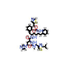 CC(C)c1nc(CN(C)C(=O)NC(CCn2ccnc2)C(=O)NC(CCC(Cc2ccccc2)NC(=O)OCc2cncs2)Cc2ccccc2)cs1